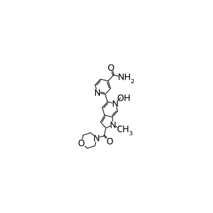 CN1C2=CN(O)C(c3cc(C(N)=O)ccn3)=CC2=CC1C(=O)N1CCOCC1